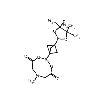 CN1CC(=O)OB(C23CC(B4OC(C)(C)C(C)(C)O4)(C2)C3)OC(=O)C1